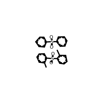 Cc1ccccc1S(=O)(=O)c1ccccc1C.O=S(=O)(c1ccccc1)c1ccccc1